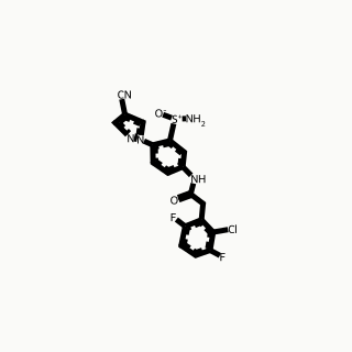 N#Cc1cnn(-c2ccc(NC(=O)Cc3c(F)ccc(F)c3Cl)cc2[S+](N)[O-])c1